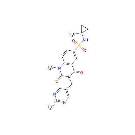 Cc1ncc(Cn2c(=O)c3cc(S(=O)(=O)NC4(C)CC4)ccc3n(C)c2=O)cn1